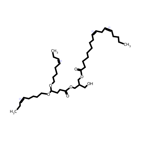 CC/C=C\CCCCOC(CCC(=O)OCC(CO)COC(=O)CCCCCCC/C=C\C/C=C\CCCC)OCCCC/C=C\CC